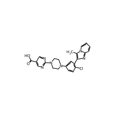 Cc1c(-c2cc(N3CCN(c4ncc(C(=O)O)cn4)CC3)ccc2Cl)nc2ccccn12